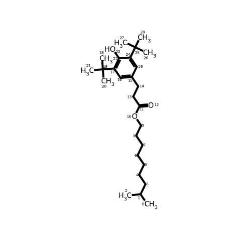 CC(C)CCCCCCCOC(=O)CCc1cc(C(C)(C)C)c(O)c(C(C)(C)C)c1